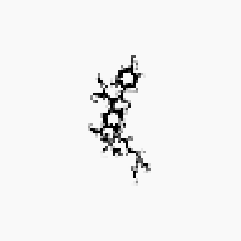 CCc1cc2c(C(=O)NC)c(-c3ccc(F)cc3)oc2nc1N(CCCN(C)SC)S(C)(=O)=O